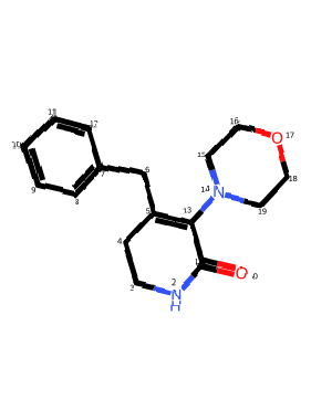 O=C1NCCC(Cc2ccccc2)=C1N1CCOCC1